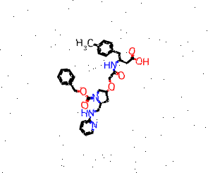 Cc1ccc(CC(CC(=O)O)NC(=O)COC2CC(CNc3ccccn3)N(C(=O)OCc3ccccc3)C2)cc1